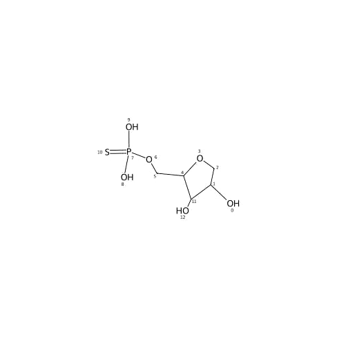 OC1COC(COP(O)(O)=S)C1O